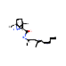 C=C/C=C\C=C(/C)C[C@@H](C)NC(=O)[C@H]1N[C@@H]2CC[C@H]1C2